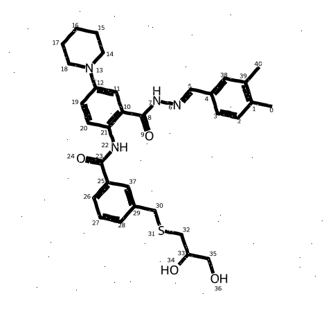 Cc1ccc(/C=N/NC(=O)c2cc(N3CCCCC3)ccc2NC(=O)c2cccc(CSCC(O)CO)c2)cc1C